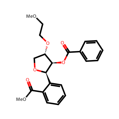 COCCO[C@H]1CO[C@H](c2ccccc2C(=O)OC)[C@@H]1OC(=O)c1ccccc1